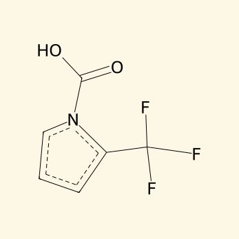 O=C(O)n1cccc1C(F)(F)F